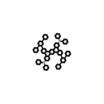 c1ccc(-c2ccc(-c3ccccc3)c(-c3ccc4c(c3)c3cc5c6ccc(N(c7ccccc7)c7ccccc7)cc6c6ccc(-c7cc(-c8ccccc8)ccc7-c7ccccc7)cc6c5cc3c3ccc(N(c5ccccc5)c5ccccc5)cc43)c2)cc1